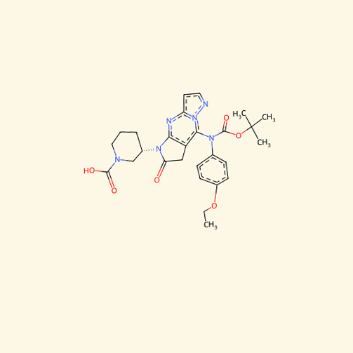 CCOc1ccc(N(C(=O)OC(C)(C)C)c2c3c(nc4ccnn24)N([C@H]2CCCN(C(=O)O)C2)C(=O)C3)cc1